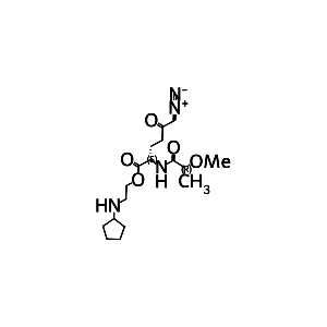 CO[C@H](C)C(=O)N[C@@H](CCC(=O)C=[N+]=[N-])C(=O)OCCNC1CCCC1